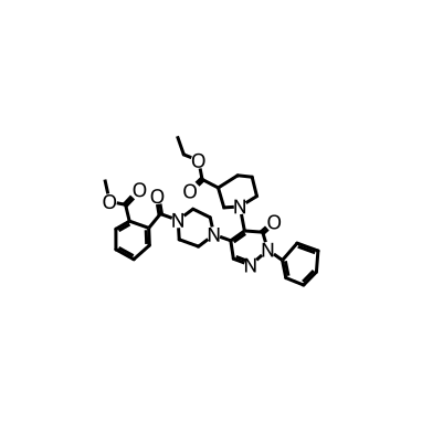 CCOC(=O)C1CCCN(c2c(N3CCN(C(=O)c4ccccc4C(=O)OC)CC3)cnn(-c3ccccc3)c2=O)C1